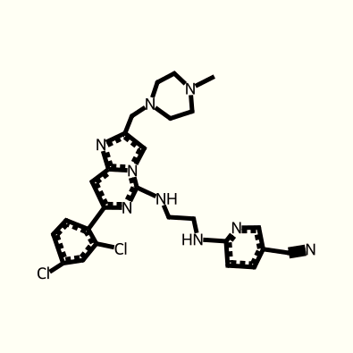 CN1CCN(Cc2cn3c(NCCNc4ccc(C#N)cn4)nc(-c4ccc(Cl)cc4Cl)cc3n2)CC1